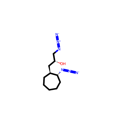 [N-]=[N+]=NC[C@H](O)C[C@@H]1CCCCC[C@H]1N=[N+]=[N-]